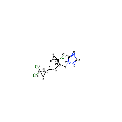 ClC1(Cl)C[C@@H]1CC[C@H](Cn1cncn1)C1(Cl)CC1